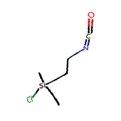 C[Si](C)(Cl)CCN=C=O